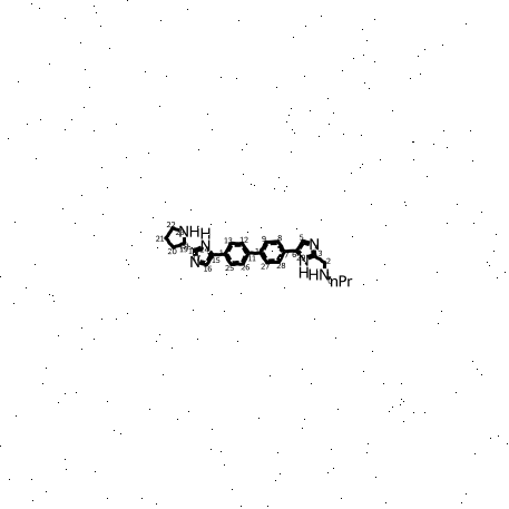 CCCNCc1ncc(-c2ccc(-c3ccc(-c4cnc([C@@H]5CCCN5)[nH]4)cc3)cc2)[nH]1